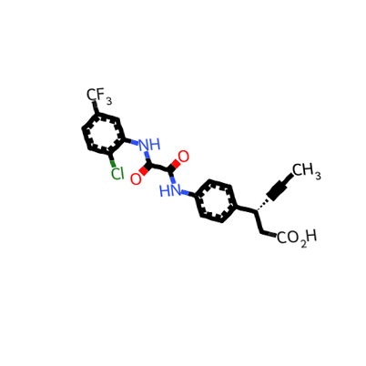 CC#C[C@H](CC(=O)O)c1ccc(NC(=O)C(=O)Nc2cc(C(F)(F)F)ccc2Cl)cc1